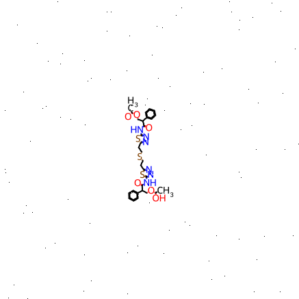 CC(=O)OCC(C(=O)Nc1nnc(CCSCCc2nnc(NC(=O)C(COC(C)O)c3ccccc3)s2)s1)c1ccccc1